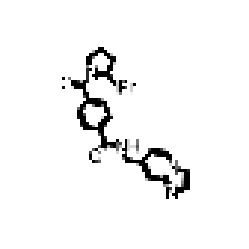 CC(C)C1CCCN1C(=O)c1ccc(C(=O)NCc2ccn3ccnc3c2)cc1